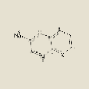 [Na][c]1cnc2ccccc2c1